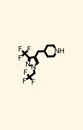 FC(F)(F)Cn1cc(CC2CCNCC2)c(C(F)(F)F)n1